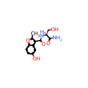 Cc1oc2ccc(O)cc2c1C(=O)N[C@@H](CO)C(N)=O